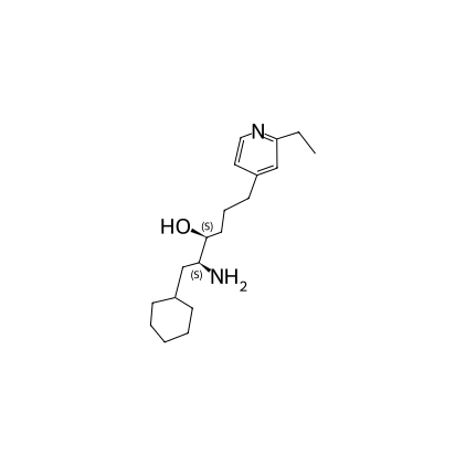 CCc1cc(CCC[C@H](O)[C@@H](N)CC2CCCCC2)ccn1